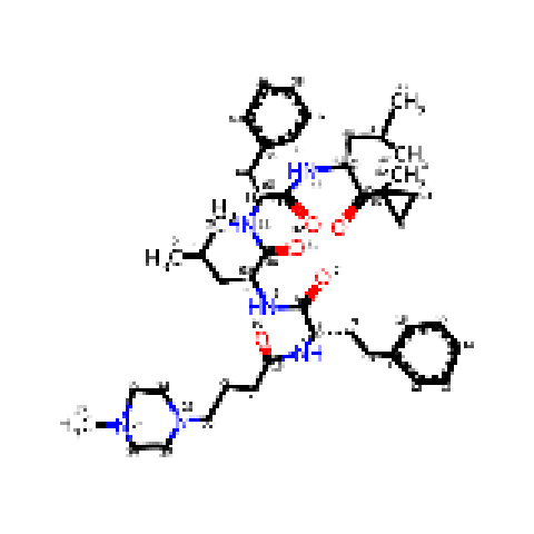 CC(C)C[C@H](NC(=O)[C@H](CCc1ccccc1)NC(=O)CCCN1CCN(C)CC1)C(=O)N[C@@H](Cc1ccccc1)C(=O)N[C@@H](CC(C)C)C(=O)C1(C)CC1